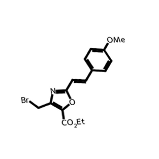 CCOC(=O)c1oc(C=Cc2ccc(OC)cc2)nc1CBr